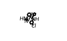 Clc1cccc(Nc2nc3c(-c4nnc[nH]4)cccc3n3cccc23)c1